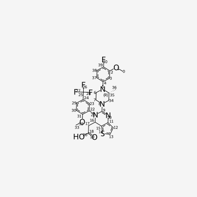 COc1cc(N2CCN(C3=Nc4ccsc4C(CC(=O)O)N3c3cc(C(F)(F)F)ccc3OC)C[C@H]2C)ccc1F